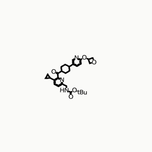 CC(C)(C)OC(=O)NCc1ccc(C2CC2)c(C(=O)C2CCC(c3ccc(OC4COC4)nc3)CC2)n1